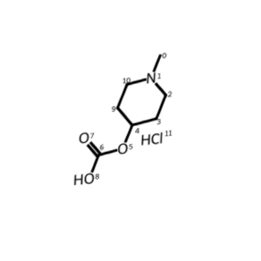 CN1CCC(OC(=O)O)CC1.Cl